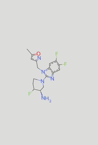 Cc1cc(Cn2c(N3CCC(F)[C@H](N)C3)nc3cc(F)c(F)cc32)no1